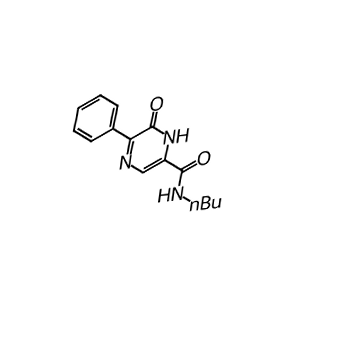 CCCCNC(=O)c1cnc(-c2ccccc2)c(=O)[nH]1